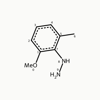 COc1cccc(C)c1NN